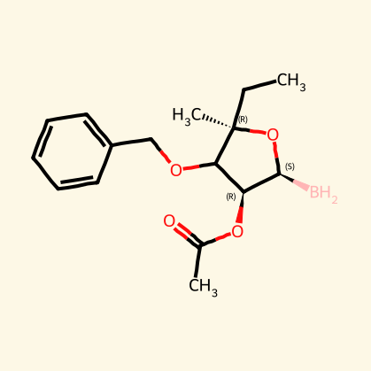 B[C@@H]1O[C@](C)(CC)C(OCc2ccccc2)[C@@H]1OC(C)=O